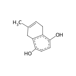 CC1=CCc2c(O)ccc(O)c2C1